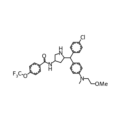 COCCN(C)c1ccc(C(c2ccc(Cl)cc2)C2CC(NC(=O)c3ccc(OC(F)(F)F)cc3)CN2)cc1